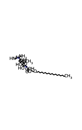 CCCCCCCCCCCCCCCCCCOCCOP(=O)(O)O/C=C1/O[C@@](NC)(c2ccc(/C(N)=N\C=N)[nH]2)[C@H](O)[C@@H]1O